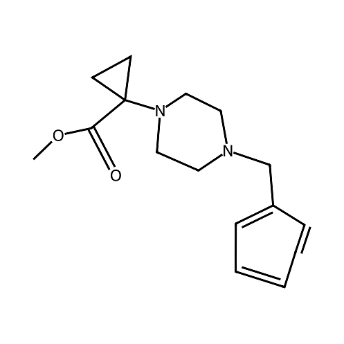 COC(=O)C1(N2CCN(Cc3ccccc3)CC2)CC1